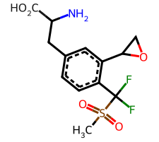 CS(=O)(=O)C(F)(F)c1ccc(CC(N)C(=O)O)cc1C1CO1